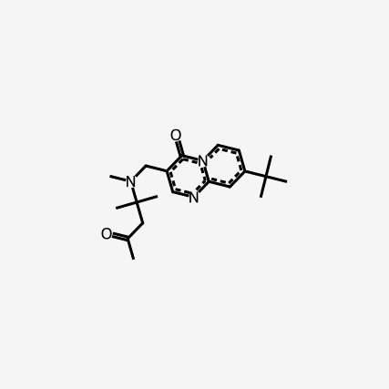 CC(=O)CC(C)(C)N(C)Cc1cnc2cc(C(C)(C)C)ccn2c1=O